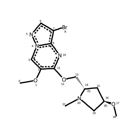 COc1cn2ncc(Br)c2nc1OC[C@@H]1C[C@@H](OC)CN1C